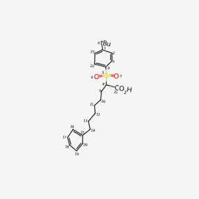 CC(C)(C)c1ccc(S(=O)(=O)C(CCCCCCc2ccccc2)C(=O)O)cc1